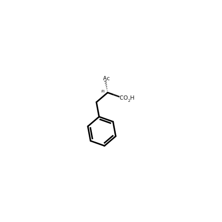 CC(=O)[C@@H](Cc1ccccc1)C(=O)O